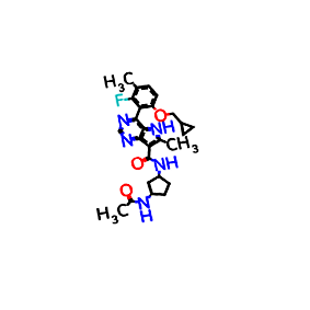 CC(=O)N[C@@H]1CC[C@H](NC(=O)c2c(C)[nH]c3c(-c4c(OCC5CC5)ccc(C)c4F)ncnc23)C1